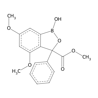 COC(=O)C1(c2ccccc2)OB(O)c2cc(OC)cc(OC)c21